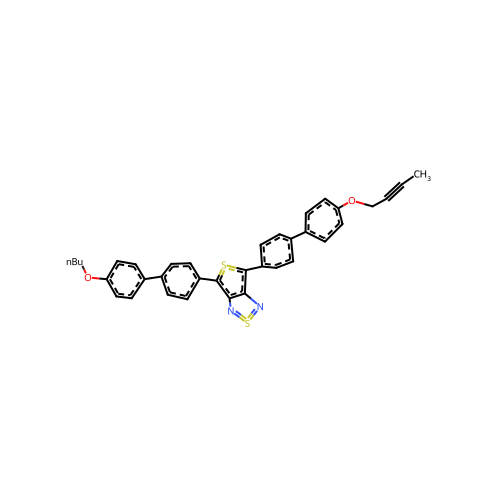 CC#CCOc1ccc(-c2ccc(-c3sc(-c4ccc(-c5ccc(OCCCC)cc5)cc4)c4c3N=S=N4)cc2)cc1